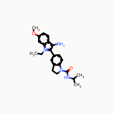 CCn1c(-c2ccc3c(c2)CCN3C(=O)NC(C)C)c(N)c2ccc(OC)cc21